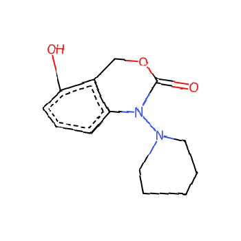 O=C1OCc2c(O)cccc2N1N1CCCCC1